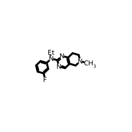 CCN(c1cccc(F)c1)c1ncc2c(n1)CCN(C)C2